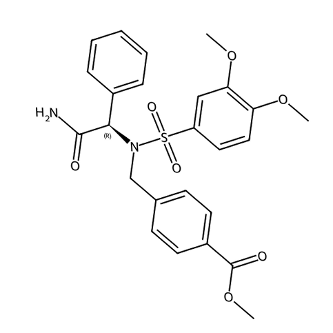 COC(=O)c1ccc(CN([C@@H](C(N)=O)c2ccccc2)S(=O)(=O)c2ccc(OC)c(OC)c2)cc1